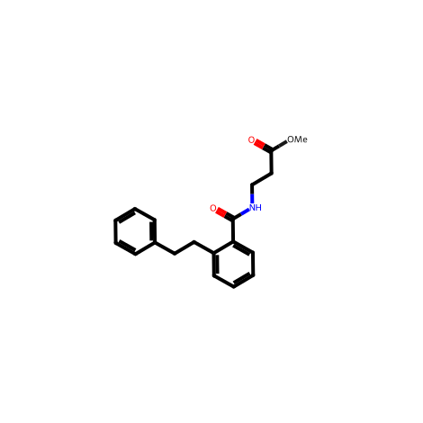 COC(=O)CCNC(=O)c1ccccc1CCc1ccccc1